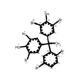 CC(c1cc(Br)c(O)c(Br)c1)(c1cc(Br)c(O)c(Br)c1)c1cc(Br)ccc1Br